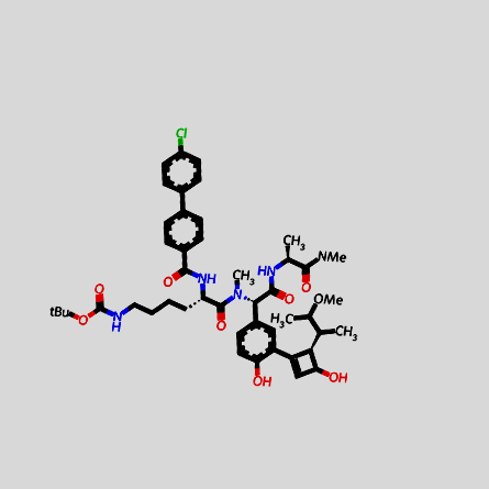 CNC(=O)[C@H](C)NC(=O)[C@H](c1ccc(O)c(C2=CC(O)[C@@H]2C(C)C(C)OC)c1)N(C)C(=O)[C@H](CCCCNC(=O)OC(C)(C)C)NC(=O)c1ccc(-c2ccc(Cl)cc2)cc1